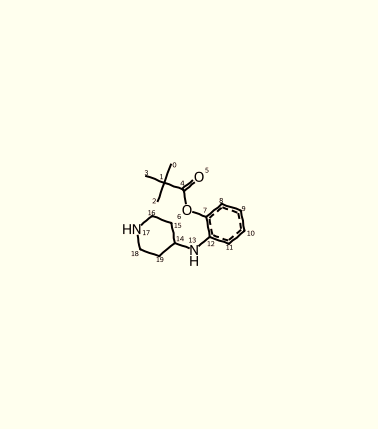 CC(C)(C)C(=O)Oc1ccccc1NC1CCNCC1